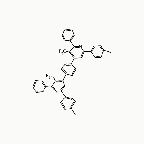 Cc1ccc(-c2cc(-c3ccc(-c4cc(-c5ccc(C)cc5)nc(-c5ccccc5)c4C(F)(F)F)cc3)c(C(F)(F)F)c(-c3ccccc3)n2)cc1